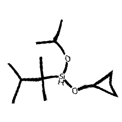 CC(C)O[SiH](OC1CC1)C(C)(C)C(C)C